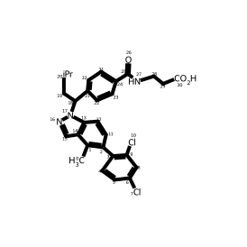 Cc1c(-c2ccc(Cl)cc2Cl)ccc2c1cnn2C(CC(C)C)c1ccc(C(=O)NCCC(=O)O)cc1